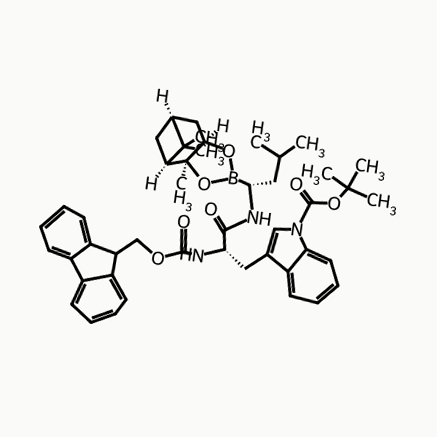 CC(C)C[C@H](NC(=O)[C@H](Cc1cn(C(=O)OC(C)(C)C)c2ccccc12)NC(=O)OCC1c2ccccc2-c2ccccc21)B1O[C@@H]2C[C@@H]3C[C@@H](C3(C)C)[C@]2(C)O1